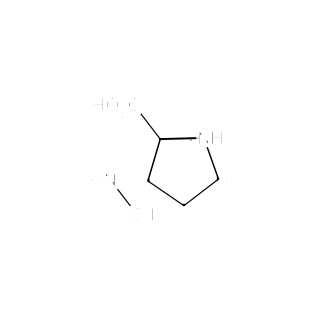 O=C(O)C1CCCN1.O=NS